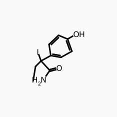 CCC(I)(C(N)=O)c1ccc(O)cc1